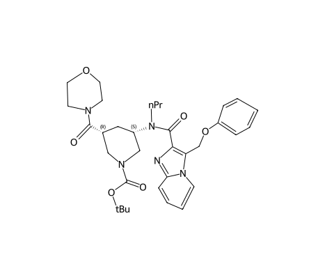 CCCN(C(=O)c1nc2ccccn2c1COc1ccccc1)[C@H]1C[C@@H](C(=O)N2CCOCC2)CN(C(=O)OC(C)(C)C)C1